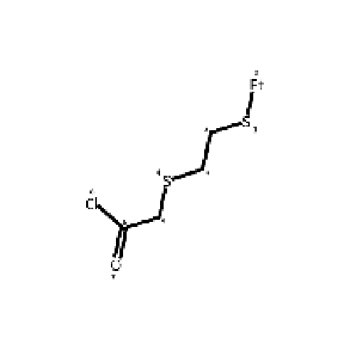 [CH2]CSCCSCC(=O)Cl